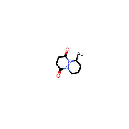 CC(=O)C1CCCN2C(=O)CCC(=O)N12